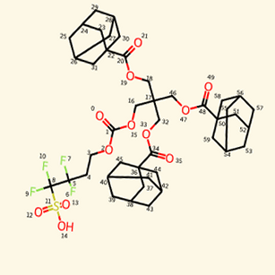 O=C(OCCC(F)(F)C(F)(F)S(=O)(=O)O)OCC(COC(=O)C12CC3CC(CC(C3)C1)C2)(COC(=O)C12CC3CC(CC(C3)C1)C2)COC(=O)C12CC3CC(CC(C3)C1)C2